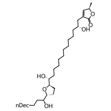 CCCCCCCCCCCC[C@H](O)[C@H]1CC[C@H]([C@H](O)CCCCCCCCCC[C@@H](O)CC2=C[C@@H](C)OC2=O)O1